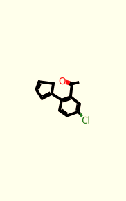 CC(=O)c1cc(Cl)ccc1C1=CC=CC1